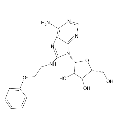 Nc1ncnc2c1nc(NCCOc1ccccc1)n2[C@@H]1O[C@H](CO)C(O)C1O